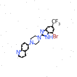 FC(F)(F)c1cc(Br)c2[nH]c(N3CCN(c4ccc5ncccc5c4)CC3)nc2c1